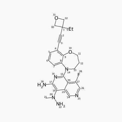 CCC1(C#Cc2cccc3c2OCCCN3c2nc(N)c(N(C)N)c3cncc(F)c23)COC1